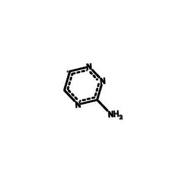 Nc1nc[c]nn1